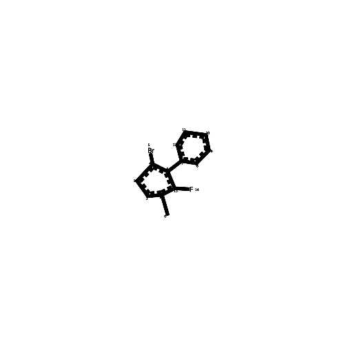 Cc1ccc(Br)c(-c2ccccc2)c1F